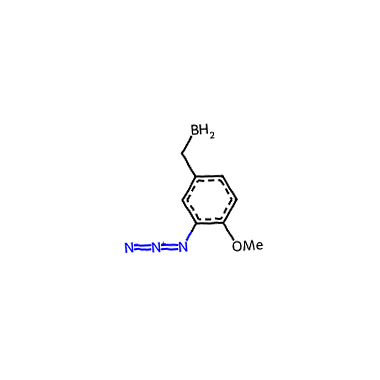 BCc1ccc(OC)c(N=[N+]=[N-])c1